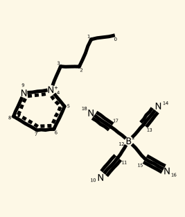 CCCC[n+]1ccccn1.N#C[B-](C#N)(C#N)C#N